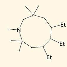 CCC1CC(C)(C)CN(C)C(C)(C)CC(CC)C1CC